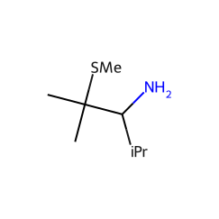 CSC(C)(C)C(N)C(C)C